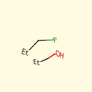 [CH2]CCF.[CH2]CO